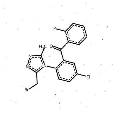 Cc1nnc(CBr)n1-c1ccc(Cl)cc1C(=O)c1ccccc1F